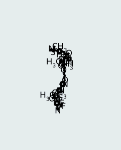 Cc1ncsc1-c1ccc(CNC(=O)[C@@H]2CCCN2C(=O)C(NC(=O)COCCCCOc2ccc(-c3ccc(N4C(=S)N(c5ccc(C#N)c(C(F)(F)F)c5F)C(=O)C4(C)C)cn3)cn2)C(C)(C)C)cc1